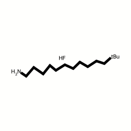 CC(C)(C)CCCCCCCCCCCN.F